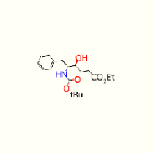 CCOC(=O)CC[C@H](O)[C@H](Cc1ccccc1)NC(=O)OC(C)(C)C